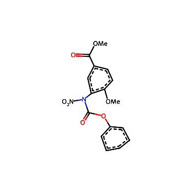 COC(=O)c1ccc(OC)c(N(C(=O)Oc2ccccc2)[N+](=O)[O-])c1